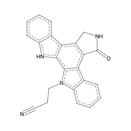 N#CCCn1c2ccccc2c2c3c(c4c5ccccc5[nH]c4c21)CNC3=O